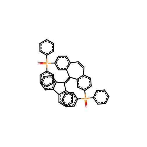 O=P(c1ccccc1)(c1ccccc1)c1ccc2c(c1)C(=C1c3ccccc3-c3ccccc31)c1cc(P(=O)(c3ccccc3)c3ccccc3)ccc1C=C2